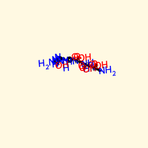 NCCC[C@H](NC(=O)CC[C@H](NC(=O)CC[C@H](NC(=O)c1ccc(NCc2cnc3nc(N)nc(O)c3n2)cc1)C(=O)O)C(=O)O)C(=O)O